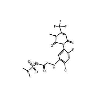 CN(C)S(=O)(=O)NC(=O)CNc1cc(-n2c(=O)cc(C(F)(F)F)n(C)c2=O)c(F)cc1Cl